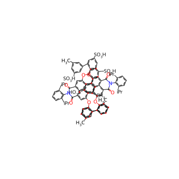 Cc1cccc(-c2ccccc2Oc2cc3c4c(cc(Oc5ccc(S(=O)(=O)O)cc5-c5cc(C)cc(S(=O)(=O)O)c5)c5c6c(Oc7ccc(S(=O)(=O)O)cc7-c7cc(C)cc(S(=O)(=O)O)c7)cc7c8c(cc(Oc9ccccc9-c9cccc(C)c9)c(c2c45)c86)C(=O)N(c2c(C(C)C)cccc2C(C)C)C7=O)C(=O)N(c2c(C(C)C)cccc2C(C)C)C3=O)c1